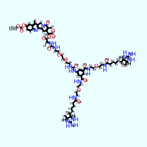 Cc1c2c(nc3ccc(OC(=O)OC(C)(C)C)cc13)-c1cc3c(c(=O)n1C2)COC(=O)[C@@]3(C)OC(=O)[C@H](C)NC(=O)NCCOCCOCCNC(=O)Nc1cc(C(=O)NCCOCCNC(=O)CCCC[C@@H]2SC[C@@H]3NC(=N)N[C@@H]32)cc(C(=O)NCCOCCNC(=O)CCCC[C@@H]2SC[C@@H]3NC(=N)N[C@@H]32)c1